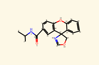 CC(C)NC(=O)c1ccc2c(c1)C1(COC=N1)c1ccccc1O2